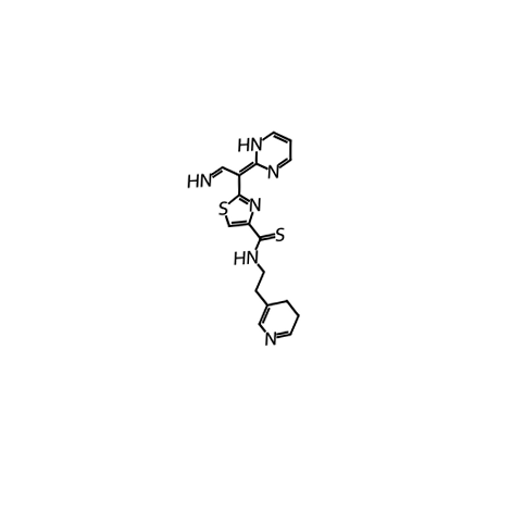 N=C/C(=C1/N=CC=CN1)c1nc(C(=S)NCCC2=CN=CCC2)cs1